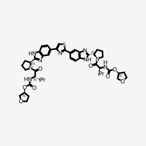 CC(C)[C@H](NC(=O)O[C@H]1CCOC1)C(=O)N1CCC[C@H]1c1nc2cc(-c3csc(-c4ccc5[nH]c([C@@H]6CCCN6C(=O)[C@@H](NC(=O)O[C@H]6CCOC6)C(C)C)nc5c4)n3)ccc2[nH]1